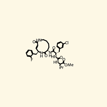 COC(=O)C(NC(=O)N[C@@H](Cc1cccc(Cl)c1)C(=O)N[C@H]1CCCCNC(=O)/C=C/[C@H](Cc2ccccc2F)NC1=O)C(C)C